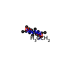 C=Cc1oc2c(N(c3ccc(-c4ccccc4)cc3)c3cccc4c3c3cccc5c6c(-c7ccccc7)c7c(c(-c8ccccc8)c6n4c35)c3cccc4c5c(N(c6ccc(-c8ccccc8)cc6)c6cccc8c6oc6ccccc68)cccc5n7c43)cccc2c1/C=C\C